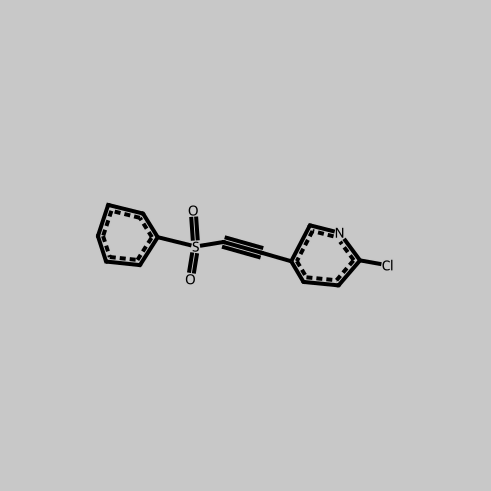 O=S(=O)(C#Cc1ccc(Cl)nc1)c1ccccc1